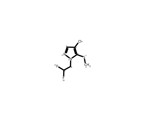 CSc1c(Cl)[c]nn1CC(F)F